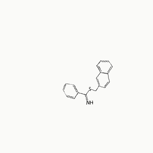 N=C(SCc1ccc2ccccc2c1)c1ccccc1